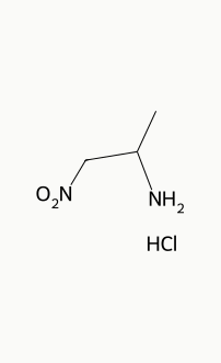 CC(N)C[N+](=O)[O-].Cl